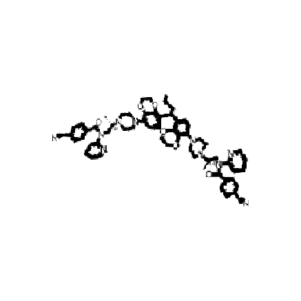 CCCC(c1ccc(N2CCN([C@H](C)CN(C(=O)c3ccc(C#N)cc3)c3ccccn3)CC2)c2c1OCCO2)c1ccc(N2CCN([C@@H](C)CN(C(=O)c3ccc(C#N)cc3)c3ccccn3)CC2)c2c1OCCO2